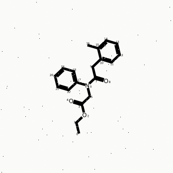 CCOC(=O)CN(C(=O)Cc1ccccc1C)c1ccccc1